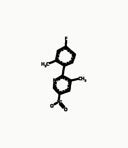 Cc1cc(F)ccc1-c1ncc([N+](=O)[O-])cc1C